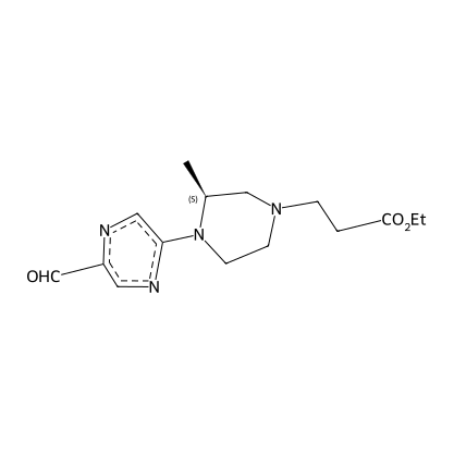 CCOC(=O)CCN1CCN(c2cnc(C=O)cn2)[C@@H](C)C1